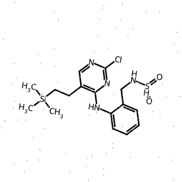 C[Si](C)(C)CCc1cnc(Cl)nc1Nc1ccccc1CN[SH](=O)=O